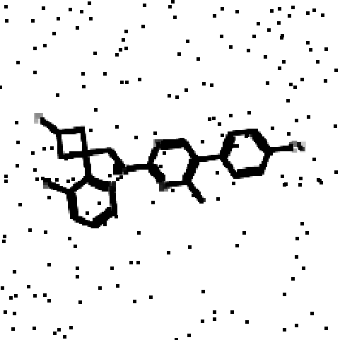 Cc1nc(NCC2(c3ncccc3F)CC(F)C2)ncc1-c1ccc(C#N)cc1